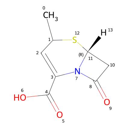 CC1C=C(C(=O)O)N2C(=O)C[C@H]2S1